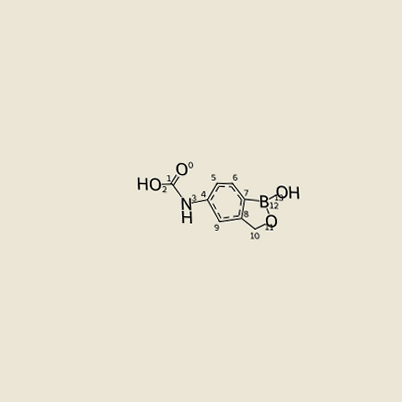 O=C(O)Nc1ccc2c(c1)COB2O